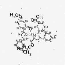 COC[C@@H]1C[C@@H](c2ccc(F)cc2N2CCC(C(=O)O)CC2)CN1C(=O)[C@@H]1CN(c2ccnc(C)n2)C[C@H]1c1ccc(OC)cc1